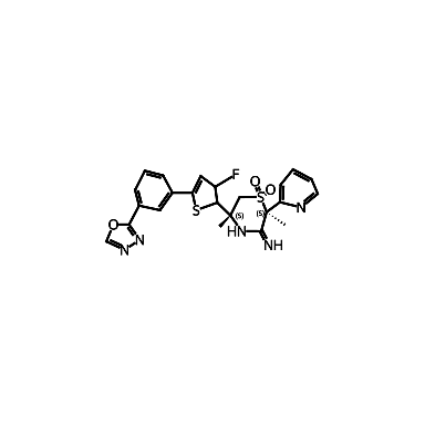 C[C@@]1(C2SC(c3cccc(-c4nnco4)c3)=CC2F)CS(=O)(=O)[C@@](C)(c2ccccn2)C(=N)N1